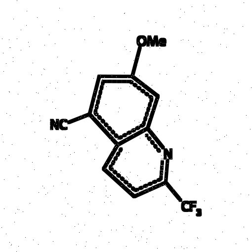 COc1cc(C#N)c2ccc(C(F)(F)F)nc2c1